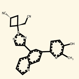 Cc1nc(-c2cc(-c3cnn([C@]4(CC#N)C[C@H](C#N)C4)n3)c3cccnc3c2)ccc1O